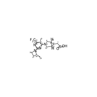 Cc1c(N2C[C@@H]3C(CS(=O)O)[C@@H]3C2)nc(N2CC[C@@H]2C)nc1C(F)(F)F